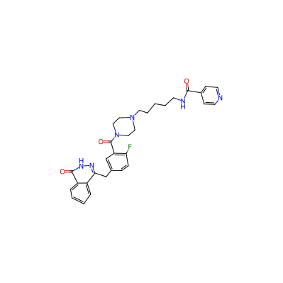 O=C(NCCCCCN1CCN(C(=O)c2cc(Cc3n[nH]c(=O)c4ccccc34)ccc2F)CC1)c1ccncc1